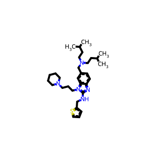 CC(C)CCN(CCC(C)C)Cc1ccc2nc(NCc3cccs3)n(CCCN3CCCCC3)c2c1